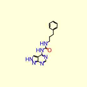 O=C(NCCCc1ccccc1)Nc1ncnc2n[nH]cc12